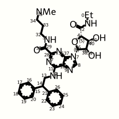 CCNC(=O)[C@H]1O[C@@H](n2cnc3c(NCC(c4ccccc4)c4ccccc4)nc(C(=O)NCCCNC)nc32)[C@H](O)[C@@H]1O